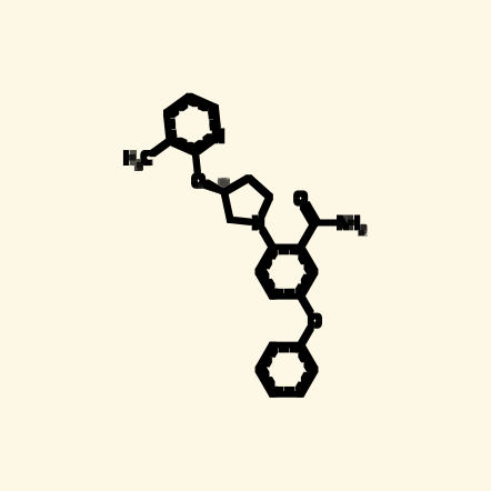 Cc1cccnc1O[C@H]1CCN(c2ccc(Oc3ccccc3)cc2C(N)=O)C1